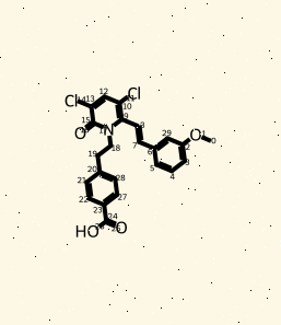 COc1cccc(C=Cc2c(Cl)cc(Cl)c(=O)n2CCc2ccc(C(=O)O)cc2)c1